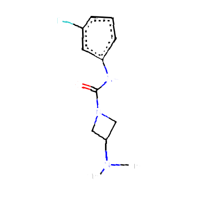 CCCN(CCC)C1CN(C(=O)Nc2cccc(F)c2)C1